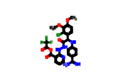 COc1ccc(C(Nc2ccc(C(=N)N)cc2)C(=O)NNc2ncccc2C(=O)OC(=O)C(F)(F)F)c(Cl)c1OC